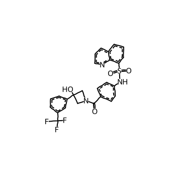 O=C(c1ccc(NS(=O)(=O)c2cccc3cccnc23)cc1)N1CC(O)(c2cccc(C(F)(F)F)c2)C1